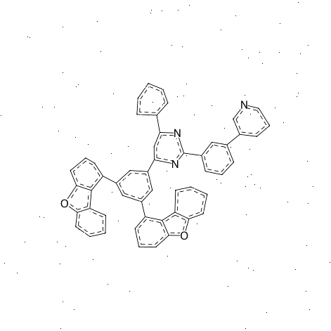 c1ccc(-c2cc(-c3cc(-c4cccc5oc6ccccc6c45)cc(-c4cccc5oc6ccccc6c45)c3)nc(-c3cccc(-c4cccnc4)c3)n2)cc1